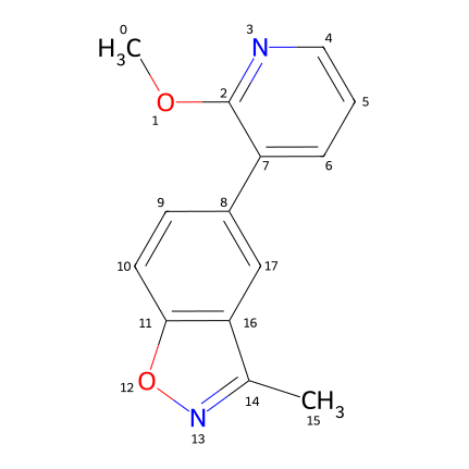 COc1ncccc1-c1ccc2onc(C)c2c1